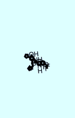 O=C(Nc1cc(O)c(C2CCCC2)cc1C#CCN1CCCC1)C1CNc2cc(OC(F)(F)F)ccc2O1